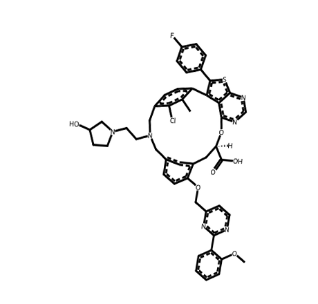 COc1ccccc1-c1nccc(COc2ccc3cc2C[C@H](C(=O)O)Oc2ncnc4sc(-c5ccc(F)cc5)c(c24)-c2ccc(c(Cl)c2C)CN(CCN2CCC(O)C2)C3)n1